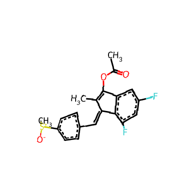 CC(=O)OC1=C(C)/C(=C\c2ccc([S+](C)[O-])cc2)c2c(F)cc(F)cc21